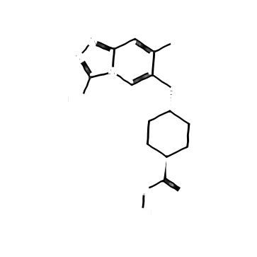 COC(=O)[C@H]1CC[C@H](Cc2cn3c(C)nnc3cc2C)CC1